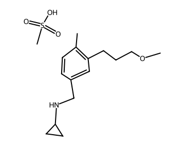 COCCCc1cc(CNC2CC2)ccc1C.CS(=O)(=O)O